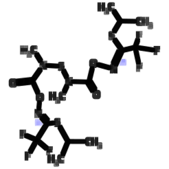 CC(C)S/C(=N\OC(=O)N(C)SN(C)C(=O)O/N=C(\SC(C)C)C(F)(F)F)C(F)(F)F